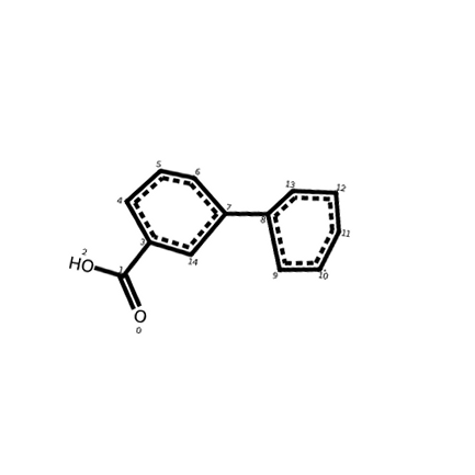 O=C(O)c1cccc(-c2c[c]ccc2)c1